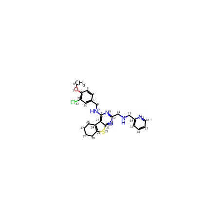 COc1ccc(CNc2nc(CNCc3ccccn3)nc3sc4c(c23)CCCC4)cc1Cl